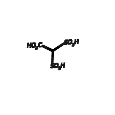 O=C(O)C(S(=O)(=O)O)S(=O)(=O)O